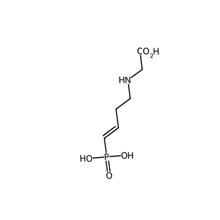 O=C(O)CNCCC=CP(=O)(O)O